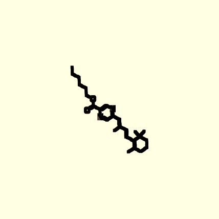 CCCCCCOC(=O)c1cnc(/C=C(\C)C=CC2=C(C)CCCC2(C)C)cn1